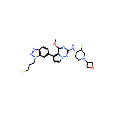 COc1nc(N[C@@H]2CCN(C3COC3)C[C@@H]2F)nn2ccc(-c3ccc4nnn(CCCF)c4c3)c12